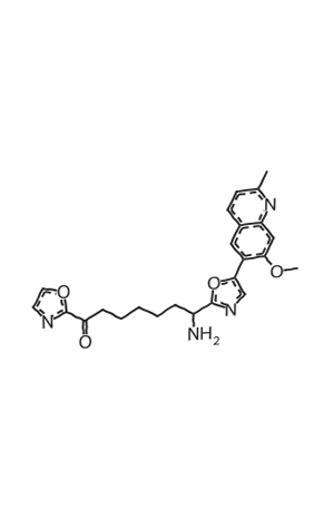 COc1cc2nc(C)ccc2cc1-c1cnc(C(N)CCCCCC(=O)c2ncco2)o1